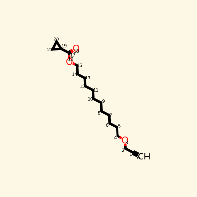 C#CCOCCCCCCCCCCCCOC(=O)C1CC1